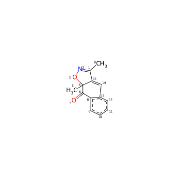 CC1=NOC2(C)C(=O)c3ccccc3C=C12